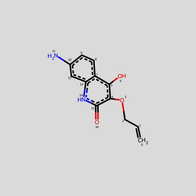 C=CCOc1c(O)c2ccc(N)cc2[nH]c1=O